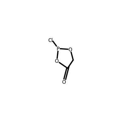 O=C1COP(Cl)O1